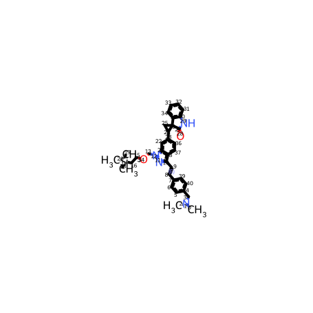 CN(C)Cc1ccc(/C=C/c2nn(COCC[Si](C)(C)C)c3cc(C4CC45C(=O)Nc4ccccc45)ccc23)cc1